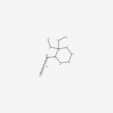 CCC1(CC)CCCCC1N=C=O